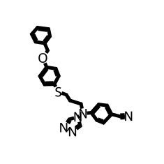 N#Cc1ccc(N(CCCSc2ccc(OCc3ccccc3)cc2)n2cnnc2)cc1